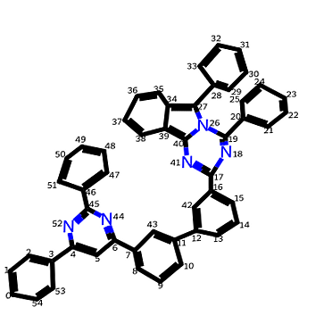 c1ccc(-c2cc(-c3cccc(-c4cccc(-c5nc(-c6ccccc6)n6c(-c7ccccc7)c7ccccc7c6n5)c4)c3)nc(-c3ccccc3)n2)cc1